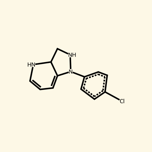 Clc1ccc(N2NCC3NC=CC=C32)cc1